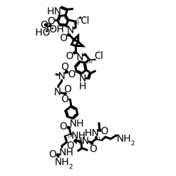 CC(=O)N[C@@H](CCCCN)C(=O)N[C@H](C(=O)N[C@@H](CCCNC(N)=O)C(=O)Nc1ccc(COC(=O)N(C)CCN(C)C(=O)Oc2cc3c(c4c(C)c[nH]c24)[C@H](CCl)CN3C(=O)C23CC4(C(=O)N5C[C@@H](CCl)c6c5cc(OP(=O)(O)O)c5[nH]cc(C)c65)CC24C3)cc1)C(C)C